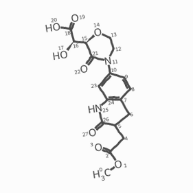 COC(=O)CC1Cc2ccc(N3CCO[C@H]([C@@H](O)C(=O)O)C3=O)cc2NC1=O